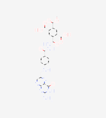 COC(=O)c1cc(C(=O)O)c(C(=O)NNC(=O)c2ccc(NCc3cnc4nc(N)[nH]c(=O)c4n3)cc2)cc1C(=O)O